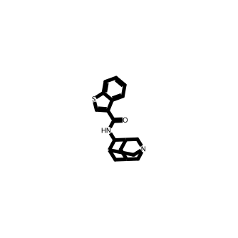 O=C(NC1C2CC3CC1CN(C3)C2)c1csc2ccccc12